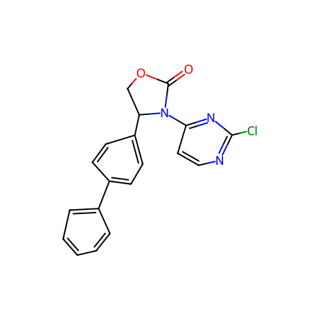 O=C1OCC(c2ccc(-c3ccccc3)cc2)N1c1ccnc(Cl)n1